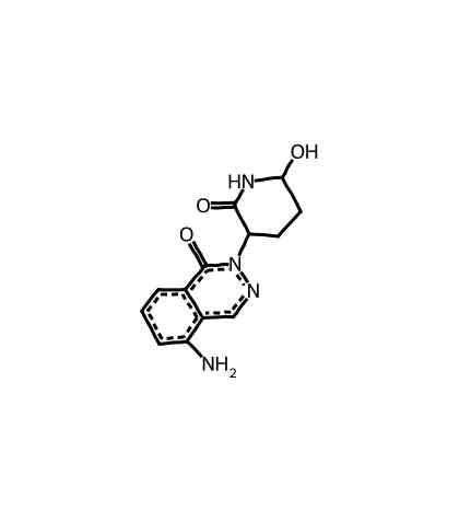 Nc1cccc2c(=O)n(C3CCC(O)NC3=O)ncc12